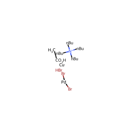 Br.CC(=O)O.CCCC[N+](CCCC)(CCCC)CCCC.[Br][Pd][Br].[Cu]